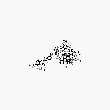 CCc1cc(Cl)c(OC)c(C(=O)NC[C@@H]2CCCN2CC)c1O.CN(C)[C@@H]1C(O)=C(C(N)=O)C(=O)[C@@]2(O)C(O)=C3C(=O)c4c(O)cccc4[C@@](C)(O)[C@H]3C[C@@H]12.COc1ccc2[nH]c([S+]([O-])Cc3ncc(C)c(OC)c3C)nc2c1